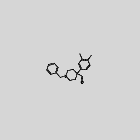 Cc1ccc(C2(C=O)CCN(Cc3ccccc3)CC2)cc1C